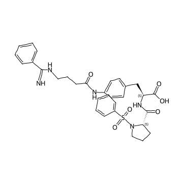 N=C(NCCCC(=O)Nc1ccc(C[C@H](NC(=O)[C@@H]2CCCN2S(=O)(=O)c2ccccc2)C(=O)O)cc1)c1ccccc1